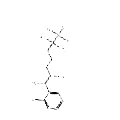 CC(C)(CCC[C@H](O)[C@@H](O)c1ccccc1Cl)[Si](C)(C)O